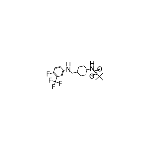 CC(C)(C)S(=O)(=O)NC1CCC(CNc2ccc(F)c(C(F)(F)F)c2)CC1